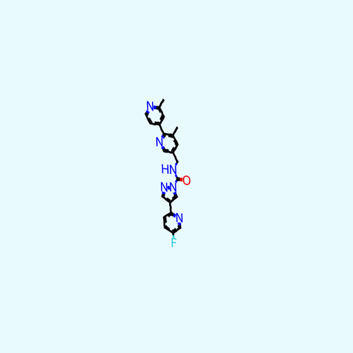 Cc1cc(-c2ncc(CNC(=O)n3cc(-c4ccc(F)cn4)cn3)cc2C)ccn1